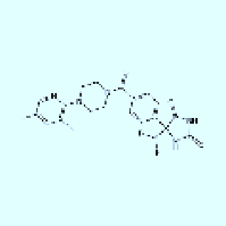 Cc1cnc(N2CCN(C(=O)c3ccc(C4(C(F)F)NC(=O)NC4=O)cc3)CC2)c(C)c1